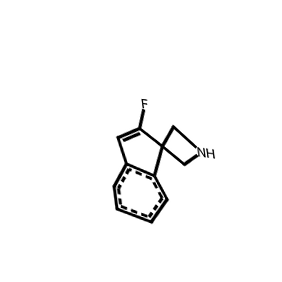 FC1=Cc2ccccc2C12CNC2